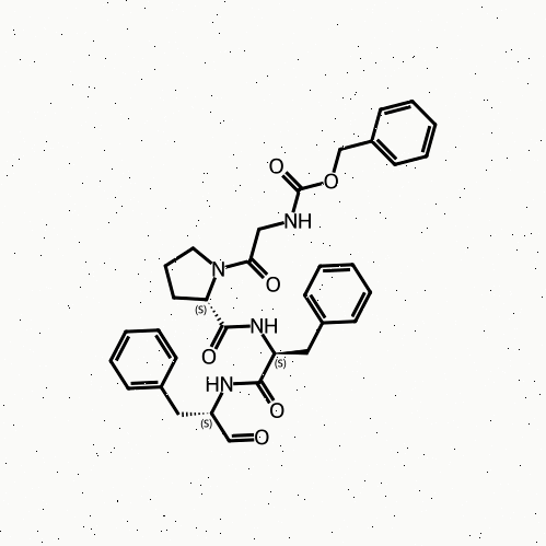 O=C[C@H](Cc1ccccc1)NC(=O)[C@H](Cc1ccccc1)NC(=O)[C@@H]1CCCN1C(=O)CNC(=O)OCc1ccccc1